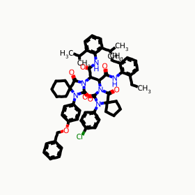 CCc1cccc(CC)c1NC(=O)C(C(C(=O)Nc1c(C(C)C)cccc1C(C)C)N1C(=O)N(c2ccc(OCc3ccccc3)cc2)C2(CCCCC2)C1=O)N1C(=O)N(c2ccc(Cl)cc2)C2(CCCC2)C1=O